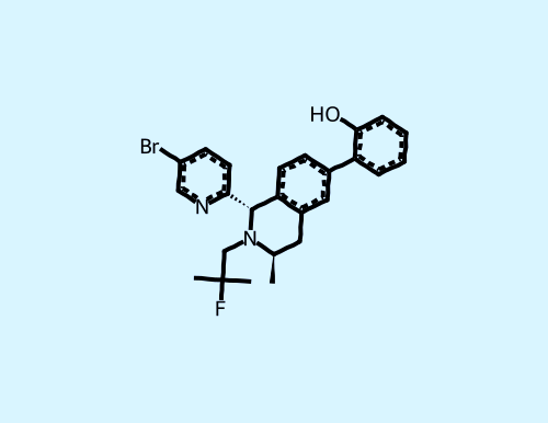 C[C@@H]1Cc2cc(-c3ccccc3O)ccc2[C@@H](c2ccc(Br)cn2)N1CC(C)(C)F